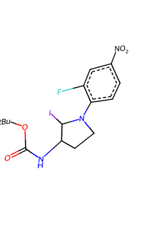 CC(C)(C)OC(=O)NC1CCN(c2ccc([N+](=O)[O-])cc2F)C1I